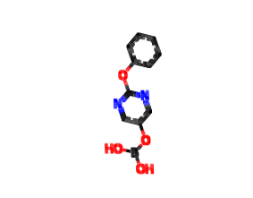 OB(O)Oc1cnc(Oc2ccccc2)nc1